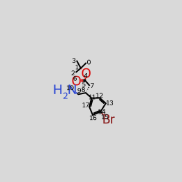 CC(C)(C)OC(=O)C[C@@H](CN)c1ccc(Br)cc1